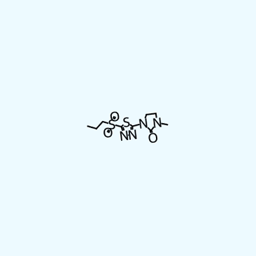 CCCS(=O)(=O)c1nnc(N2CCN(C)C2=O)s1